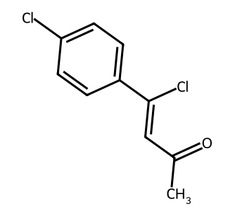 CC(=O)/C=C(\Cl)c1ccc(Cl)cc1